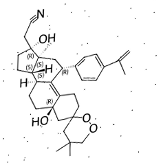 C=C(C)c1ccc([C@H]2C[C@@]3(C)[C@@H](CC[C@@]3(O)CC#N)[C@@H]3CC[C@@]4(O)CC5(CCC4=C32)CC(C)(C)COO5)cc1